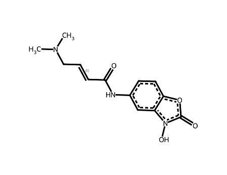 CN(C)C/C=C/C(=O)Nc1ccc2oc(=O)n(O)c2c1